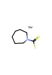 S=C([S-])N1CCCCCC1.[Na+]